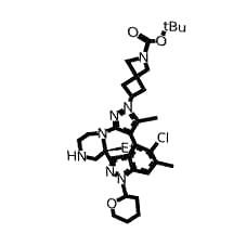 CC[C@@]1(C)CNCCN1c1nn(C2CC3(C2)CN(C(=O)OC(C)(C)C)C3)c(C)c1-c1c(Cl)c(C)cc2c1cnn2C1CCCCO1